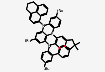 CC1(C)Cc2cc3c(cc2C1)N(c1ccc(C(C)(C)C)cc1-c1ccccc1)c1cc(C(C)(C)C)cc2c1B3c1ccc(C(C)(C)C)cc1N2c1ccc2c3c(cccc13)CCC2